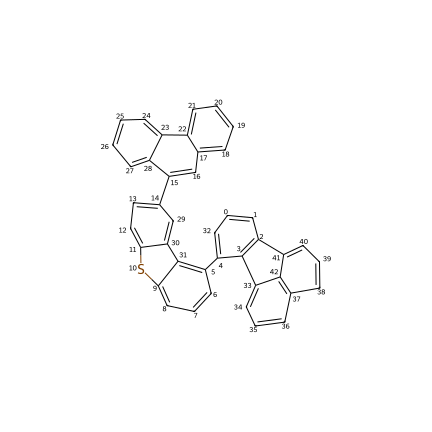 c1cc2c(c(-c3cccc4sc5ccc(-c6cc7ccccc7c7ccccc67)cc5c34)c1)-c1cccc3cccc-2c13